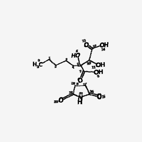 CCCCCC(O)(C(=O)O)C(O)C(=O)O.O=C1CCC(=O)N1